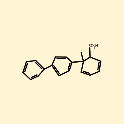 CC1(c2ccc(-c3ccccc3)cc2)C=CC=CC1S(=O)(=O)O